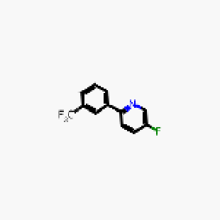 Fc1ccc(-c2cc[c]c(C(F)(F)F)c2)nc1